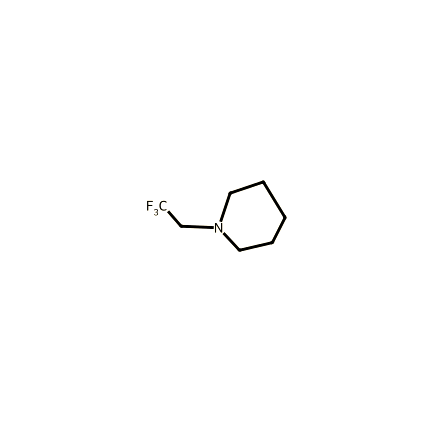 FC(F)(F)CN1CCCCC1